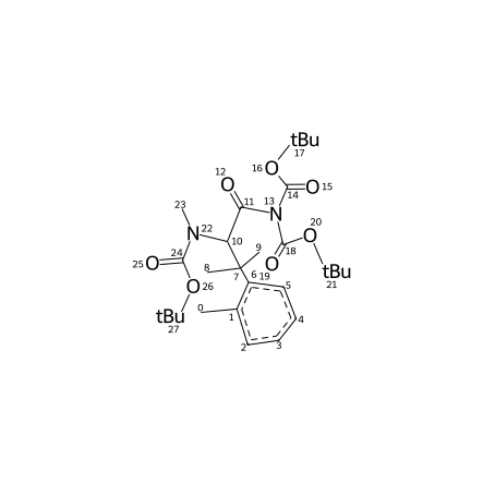 Cc1ccccc1C(C)(C)C(C(=O)N(C(=O)OC(C)(C)C)C(=O)OC(C)(C)C)N(C)C(=O)OC(C)(C)C